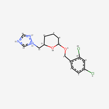 Clc1ccc(COC2CCCC(Cn3cncn3)O2)c(Cl)c1